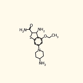 CCOc1cc(N2CCC(N)CC2)cc2c1C(N)C(C(N)=O)S2